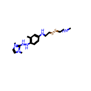 CNCCSSCCNc1ccc(NNc2n(C)cc[n+]2C)c(C)c1